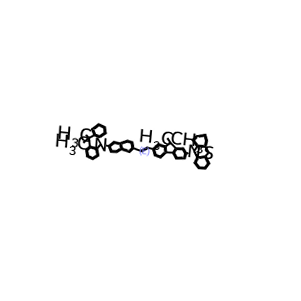 CC1(C)c2cc(/C=C/c3ccc4cc(N5c6ccccc6C(C)(C)c6ccccc65)ccc4c3)ccc2-c2ccc(N3c4ccccc4Sc4ccccc43)cc21